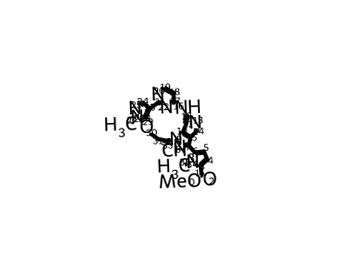 COC(=O)c1ccc(-c2nn3c4cc(ncc24)Nc2ccnc(n2)-c2cnn(C)c2OCC[C@@H]3C)n1C